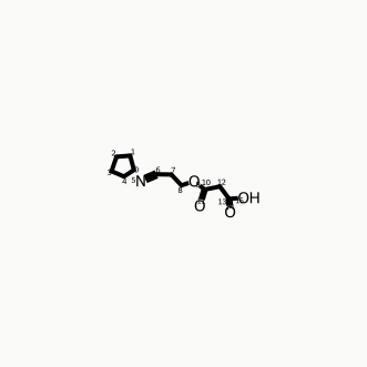 C1CCCC1.N#CCCOC(=O)CC(=O)O